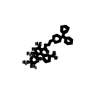 CC1=C(C(=O)OCCN2CCN(C(c3ccccc3)c3ccccc3)CC2)C(c2cccc([N+](=O)[O-])c2)C(P2(=O)OCC(C)(C)CO2)=C(C)N1